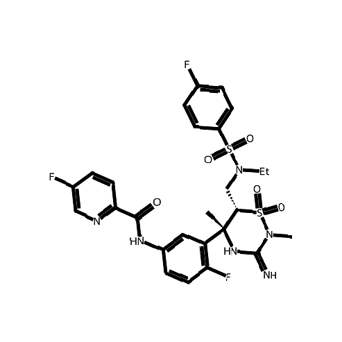 CCN(C[C@H]1[C@@](C)(c2cc(NC(=O)c3ccc(F)cn3)ccc2F)NC(=N)N(C)S1(=O)=O)S(=O)(=O)c1ccc(F)cc1